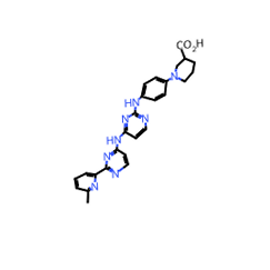 Cc1cccc(-c2nccc(Nc3ccnc(Nc4ccc(N5CCCC(C(=O)O)C5)cc4)n3)n2)n1